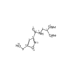 COC(CNC(=O)c1cc(CO)on1)OC